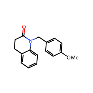 COc1ccc(CN2C(=O)CCc3ccccc32)cc1